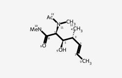 C/C=C/[C@@H](C)[C@@H](O)[C@@H](C(=O)NC)N(C)C(C)=O